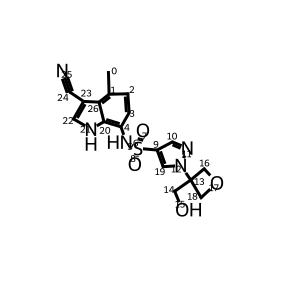 Cc1ccc(NS(=O)(=O)c2cnn(C3(CO)COC3)c2)c2[nH]cc(C#N)c12